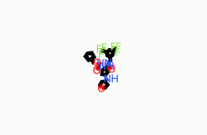 O=C(N[C@]1(C(=O)NCc2cc(C(F)(F)F)cc(C(F)(F)F)c2)CC[C@@H](NC2CCOCC2)C1)OCc1ccccc1